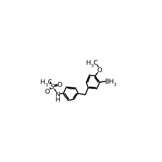 Bc1cc(Cc2ccc(NS(C)(=O)=O)cc2)ccc1OC